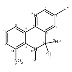 [2H]C1([2H])c2cc(F)cnc2-c2cccc([N+](=O)[O-])c2N1C